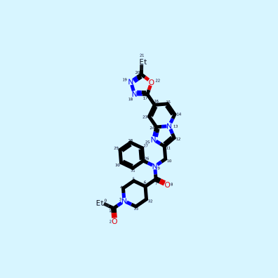 CCC(=O)N1CCC(C(=O)N(Cc2cn3ccc(-c4nnc(CC)o4)cc3n2)c2ccccc2)CC1